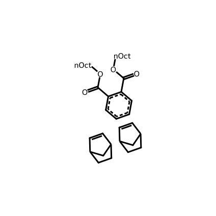 C1=CC2CCC1C2.C1=CC2CCC1C2.CCCCCCCCOC(=O)c1ccccc1C(=O)OCCCCCCCC